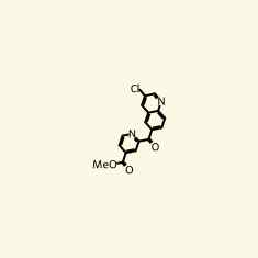 COC(=O)c1ccnc(C(=O)c2ccc3ncc(Cl)cc3c2)c1